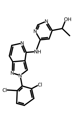 CC(O)c1cc(Nc2nccc3nn(-c4c(Cl)cccc4Cl)cc23)ncn1